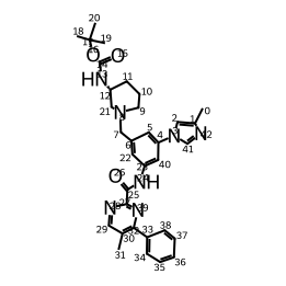 Cc1cn(-c2cc(CN3CCC[C@H](NC(=O)OC(C)(C)C)C3)cc(NC(=O)c3ncc(C)c(-c4ccccc4)n3)c2)cn1